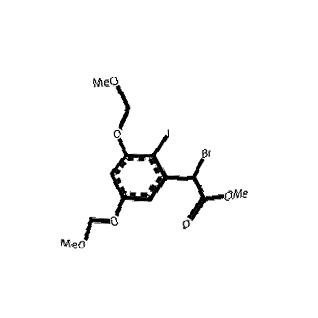 COCOc1cc(OCOC)c(I)c(C(Br)C(=O)OC)c1